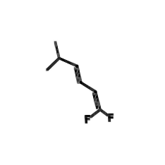 CC(C)C=CC=C(F)F